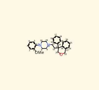 COc1ccccc1N1CCN(CCC2(c3ccccc3)COCc3ccccc32)CC1